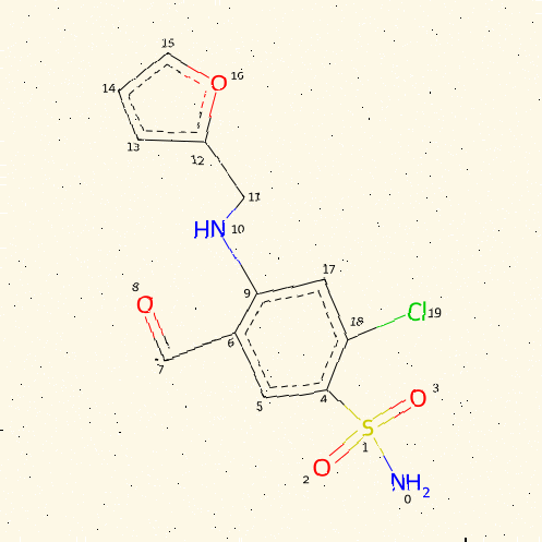 NS(=O)(=O)c1cc([C]=O)c(NCc2ccco2)cc1Cl